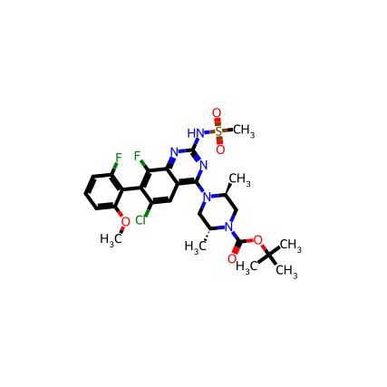 COc1cccc(F)c1-c1c(Cl)cc2c(N3C[C@@H](C)N(C(=O)OC(C)(C)C)C[C@@H]3C)nc(NS(C)(=O)=O)nc2c1F